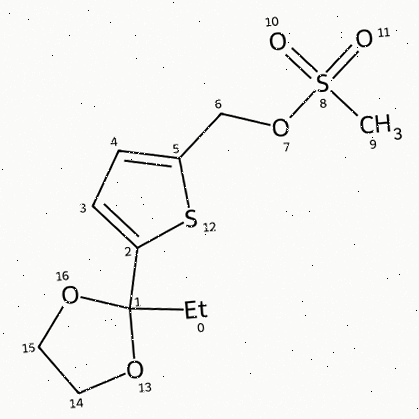 CCC1(c2ccc(COS(C)(=O)=O)s2)OCCO1